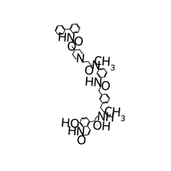 CC(Cc1cccc(CC(=O)Nc2cccc(N(C)C(=O)CCN3CCC(OC(=O)Nc4ccccc4-c4ccccc4)CC3)c2)c1)NC[C@H](O)c1ccc(O)c2[nH]c(=O)ccc12